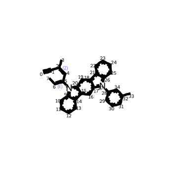 C#C/C(C)=C\C(=C/C)n1c2ccccc2c2cc3c(cc21)c1ccccc1n3-c1cccc(C)c1